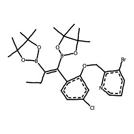 CC/C(B1OC(C)(C)C(C)(C)O1)=C(/B1OC(C)(C)C(C)(C)O1)c1ccc(Cl)cc1OCc1ncccc1Br